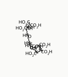 O=C(O)CC[C@H](NC(=O)N[C@@H](CCCCNC(=O)CCCCNC(=S)Nc1ccc(CC2CN(CC(=O)O)CCN(CC(=O)O)CCN(CC(=O)O)CCN2CC(=O)O)cc1)C(=O)O)C(=O)O